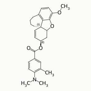 COc1ccc2c3c1OC1C[C@@H](OC(=O)c4ccc(N(C)C)c(C)c4)C=C[C@@]31CCCC2